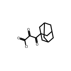 O=C(Cl)C(=O)C(=O)C12CC3CC(CC(C3)C1)C2